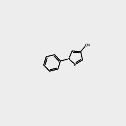 N#Cc1[c]n(-c2ccccc2)nc1